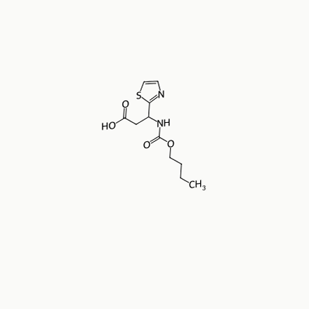 CCCCOC(=O)NC(CC(=O)O)c1nccs1